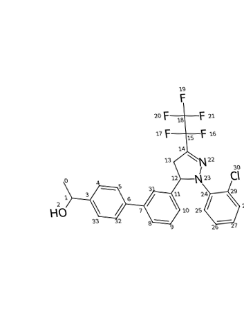 CC(O)c1ccc(-c2cccc(C3CC(C(F)(F)C(F)(F)F)=NN3c3ccccc3Cl)c2)cc1